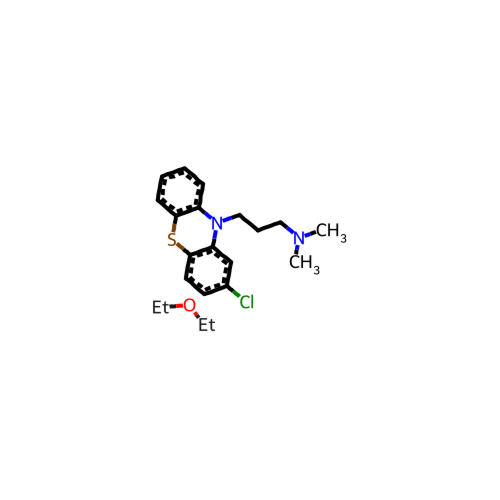 CCOCC.CN(C)CCCN1c2ccccc2Sc2ccc(Cl)cc21